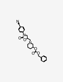 N#Cc1ccc(N2CC(CN3CCCC(OC(=O)OCc4ccccc4)C3)OC2=O)cc1